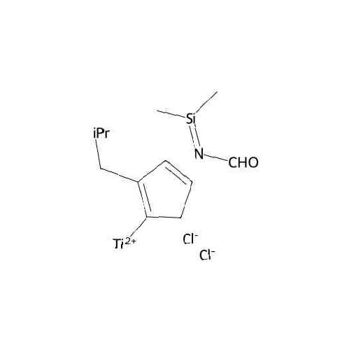 CC(C)CC1=[C]([Ti+2])CC=C1.C[Si](C)=NC=O.[Cl-].[Cl-]